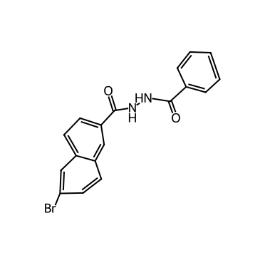 O=C(NNC(=O)c1ccc2cc(Br)ccc2c1)c1ccccc1